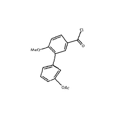 COc1ccc(C(=O)Cl)cc1-c1cccc(OC(C)=O)c1